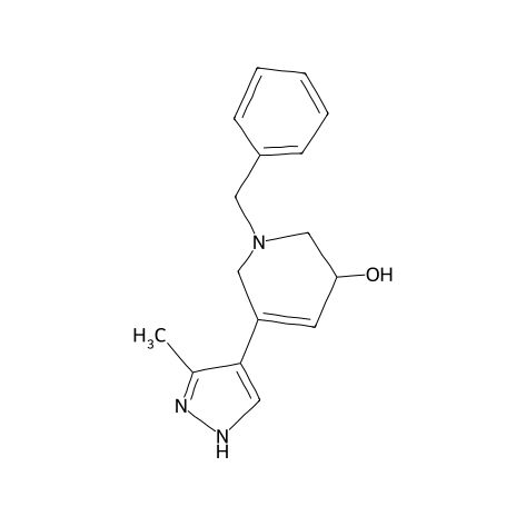 Cc1n[nH]cc1C1=CC(O)CN(Cc2ccccc2)C1